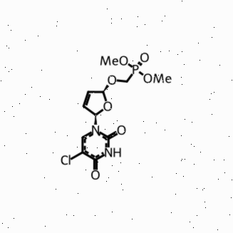 COP(=O)(CO[C@@H]1C=C[C@H](n2cc(Cl)c(=O)[nH]c2=O)O1)OC